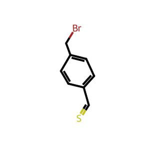 S=Cc1ccc(CBr)cc1